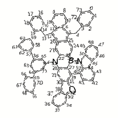 c1ccc(Cc2c3ccccc3c(Cc3ccccc3)c3cc4c(cc23)B2c3c(cc5c(oc6ccccc65)c3-c3cccc5c6ccccc6n2c35)N4c2cc(-c3ccccc3)cc(-c3ccccc3)c2)cc1